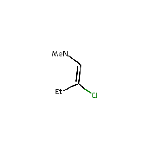 CC/C(Cl)=C\NC